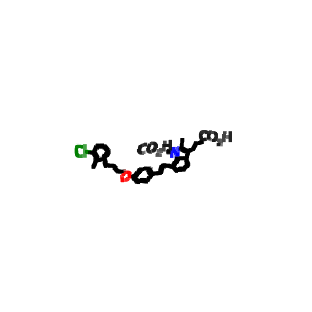 Cc1c(Cl)cccc1CCCCOc1ccc(C=Cc2cccc3c(CCCC(=O)O)c(C)n(CC(=O)O)c23)cc1